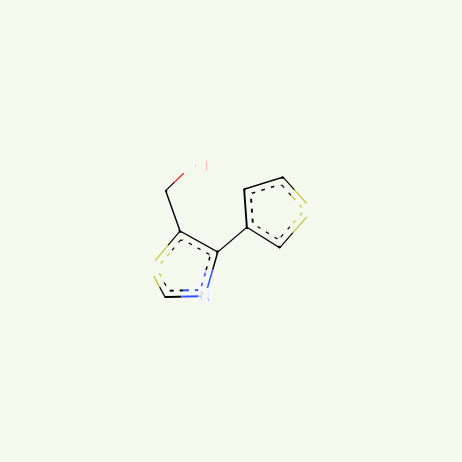 OCc1scnc1-c1ccsc1